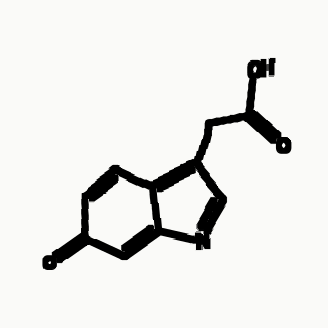 O=C1C=CC2=C(CC(=O)O)C=NC2=C1